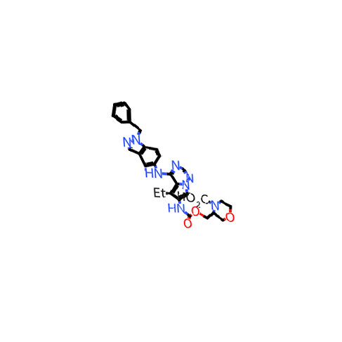 CCc1c(NC(=O)OCC2COCCN2C(=O)O)cn2ncnc(Nc3ccc4c(cnn4Cc4ccccc4)c3)c12